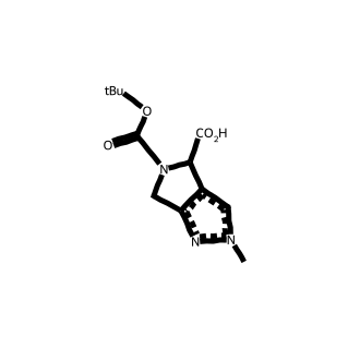 Cn1cc2c(n1)CN(C(=O)OC(C)(C)C)C2C(=O)O